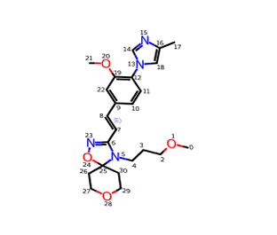 COCCCN1C(/C=C/c2ccc(-n3cnc(C)c3)c(OC)c2)=NOC12CCOCC2